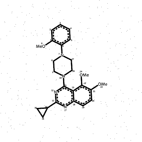 COc1ccccc1N1CCN(c2nc(C3CC3)nc3ccc(OC)c(OC)c23)CC1